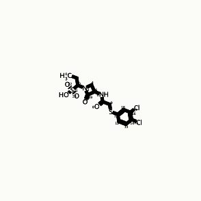 CCC(N1CC(NC(=O)CSc2ccc(Cl)c(Cl)c2)C1=O)S(=O)(=O)O